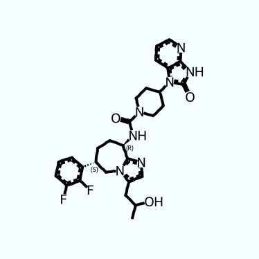 CC(O)Cc1cnc2n1C[C@H](c1cccc(F)c1F)CC[C@H]2NC(=O)N1CCC(n2c(=O)[nH]c3ncccc32)CC1